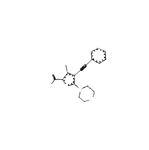 Cc1c(C(N)=O)sc(N2CCOCC2)c1C#Cc1ccccc1